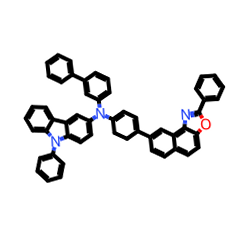 C1=C(c2ccc3ccc4oc(-c5ccccc5)nc4c3c2)CCC(N(c2cccc(-c3ccccc3)c2)c2ccc3c(c2)c2ccccc2n3-c2ccccc2)=C1